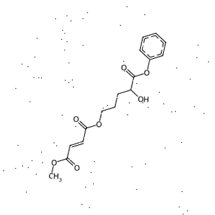 COC(=O)C=CC(=O)OCCCC(O)C(=O)Oc1ccccc1